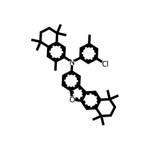 Cc1cc(Cl)cc(N(c2ccc3oc4cc5c(cc4c3c2)C(C)(C)CCC5(C)C)c2cc3c(cc2C)C(C)(C)CCC3(C)C)c1